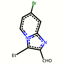 CCc1c(C=O)nc2cc(Br)ccn12